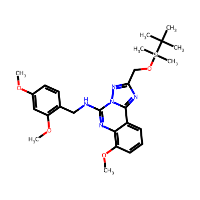 COc1ccc(CNc2nc3c(OC)cccc3c3nc(CO[Si](C)(C)C(C)(C)C)nn23)c(OC)c1